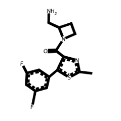 Cc1nc(C(=O)N2CCC2CN)c(-c2cc(F)cc(F)c2)s1